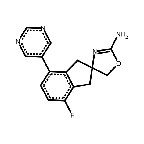 NC1=NC2(CO1)Cc1c(F)ccc(-c3cncnc3)c1C2